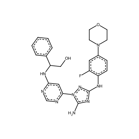 Nc1nc(Nc2ccc(N3CCOCC3)cc2F)nn1-c1cc(NC(CO)c2ccccc2)ncn1